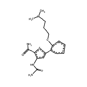 CN(C)CCCOc1ccccc1-c1cc(NC(N)=O)c(C(N)=O)s1